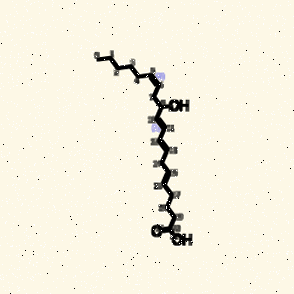 CCCCC/C=C\CC(O)/C=C/C=CCC=CCCCC(=O)O